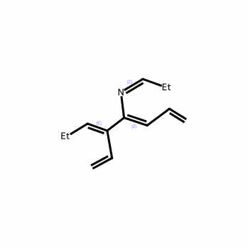 C=C/C=C(\N=C/CC)C(/C=C)=C/CC